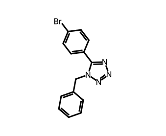 Brc1ccc(-c2nnnn2Cc2ccccc2)cc1